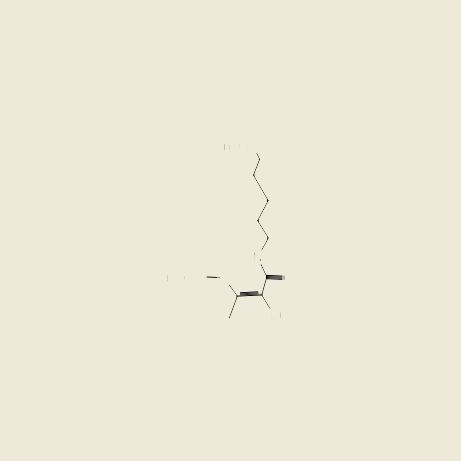 CCCCCCCCCCCCCCCNC(=O)C(CC)=C(C)OCCCCC